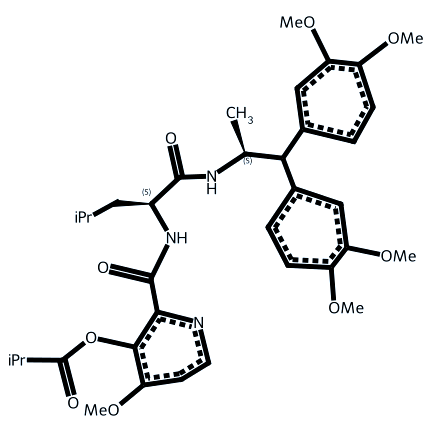 COc1ccc(C(c2ccc(OC)c(OC)c2)[C@H](C)NC(=O)[C@H](CC(C)C)NC(=O)c2nccc(OC)c2OC(=O)C(C)C)cc1OC